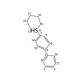 c1ccc(-c2ccc([SH]3CCCCC3)cc2)cc1